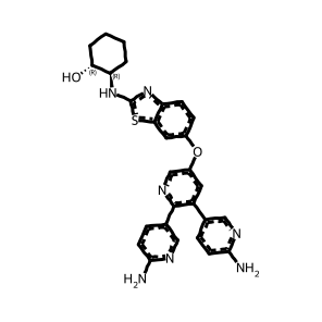 Nc1ccc(-c2cc(Oc3ccc4nc(N[C@@H]5CCCC[C@H]5O)sc4c3)cnc2-c2ccc(N)nc2)cn1